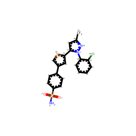 NS(=O)(=O)c1ccc(-c2csc(-c3cc(C(F)(F)F)nn3-c3ccccc3Cl)c2)cc1